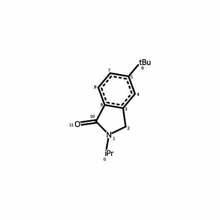 CC(C)N1Cc2cc(C(C)(C)C)ccc2C1=O